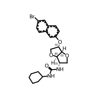 O=C(NC1CCCCC1)N[C@H]1CO[C@H]2[C@@H]1OC[C@@H]2Oc1ccc2cc(Br)ccc2c1